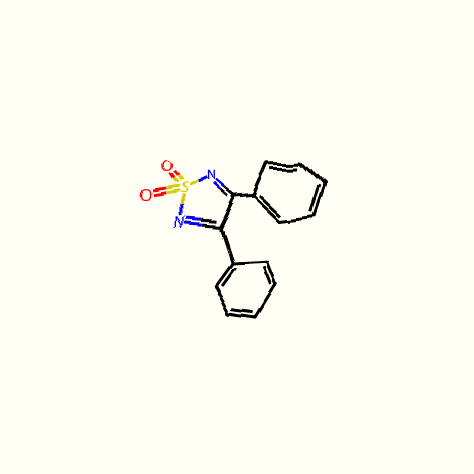 O=S1(=O)N=C(c2ccccc2)C(c2ccccc2)=N1